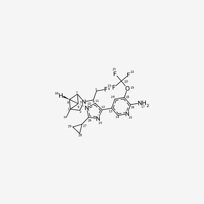 CC12CN(CCF)C3[C@@H]1[C@@]32n1cc(-c2cnc(N)c(OC(F)(F)F)c2)nc1C1CC1